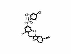 N#Cc1ccc2nc(Sc3c(Cl)cc(NS(=O)(=O)c4ccc(Cl)cc4Cl)cc3Cl)sc2c1